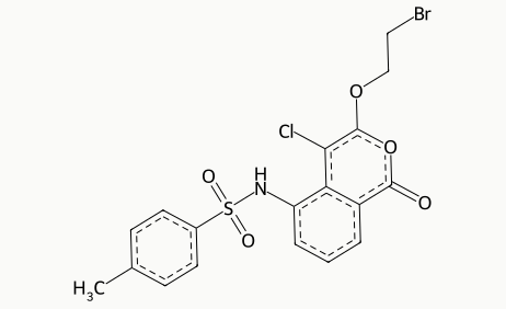 Cc1ccc(S(=O)(=O)Nc2cccc3c(=O)oc(OCCBr)c(Cl)c23)cc1